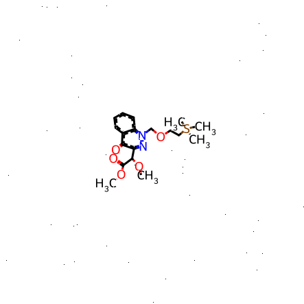 COC(=O)C(OC)c1nn(COCCS(C)(C)C)c2ccccc2c1=O